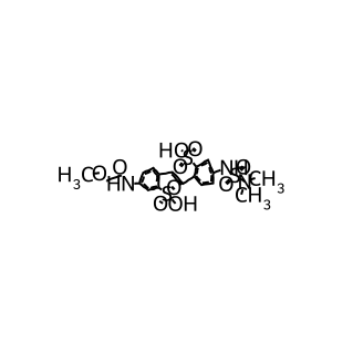 COCC(=O)Nc1ccc(C=Cc2ccc(NS(=O)(=O)N(C)C)cc2S(=O)(=O)O)c(S(=O)(=O)O)c1